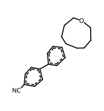 C1CCCCOCCC1.N#Cc1ccc(-c2ccccc2)cc1